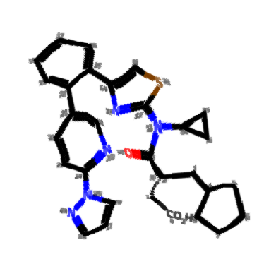 O=C(O)C[C@@H](CC1CCCC1)C(=O)N(c1nc(-c2ccccc2-c2ccc(-n3cccn3)nc2)cs1)C1CC1